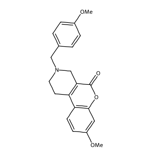 COc1ccc(CN2CCc3c(c(=O)oc4cc(OC)ccc34)C2)cc1